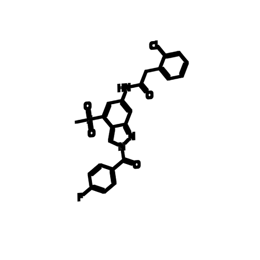 CS(=O)(=O)c1cc(NC(=O)Cc2ccccc2Cl)cc2nn(C(=O)c3ccc(F)cc3)cc12